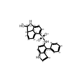 O=S(=O)(Nc1ccc2[nH]ccc2c1-c1ccccc1)C1=CC=C2NC(O)C3C=CC=C1C23